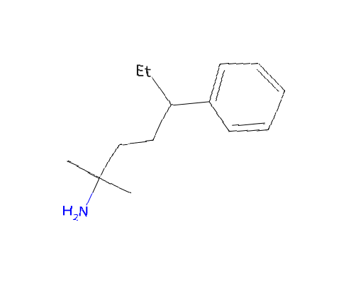 CCC(CCC(C)(C)N)c1ccccc1